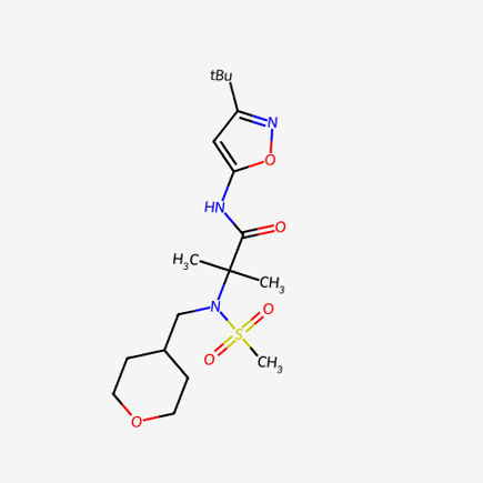 CC(C)(C)c1cc(NC(=O)C(C)(C)N(CC2CCOCC2)S(C)(=O)=O)on1